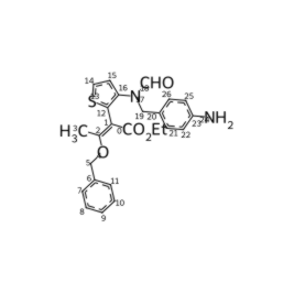 CCOC(=O)/C(=C(/C)OCc1ccccc1)c1sccc1N(C=O)Cc1ccc(N)cc1